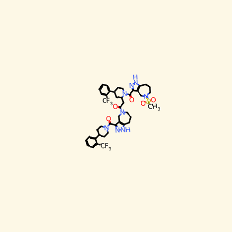 CS(=O)(=O)N1CCCc2[nH]nc(C(=O)N3CCC(c4ccccc4C(F)(F)F)CC3CC(=O)N3CCCc4[nH]nc(C(=O)N5CCC(c6ccccc6C(F)(F)F)CC5)c4C3)c2C1